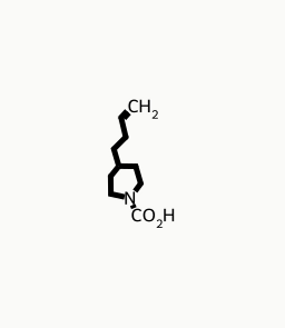 C=CCCC1CCN(C(=O)O)CC1